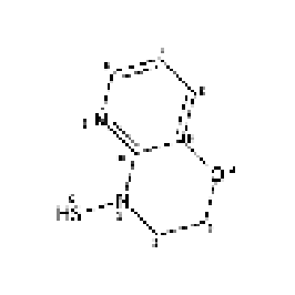 SN1CCOc2cccnc21